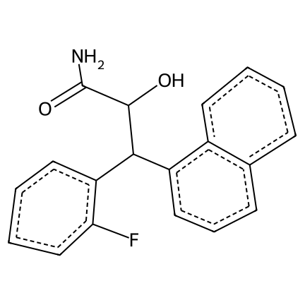 NC(=O)C(O)C(c1ccccc1F)c1cccc2ccccc12